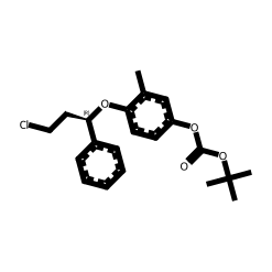 Cc1cc(OC(=O)OC(C)(C)C)ccc1O[C@H](CCCl)c1ccccc1